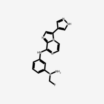 NN(CF)c1cccc(Nc2nccn3c(-c4cn[nH]c4)cnc23)c1